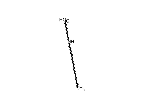 CCCCCCCCCCCCCCCCCCCCCCCCCCCCNCCCCCCCCCCCC(=O)O